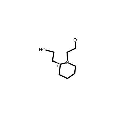 [O]CCN1CCCC[C@H]1CCO